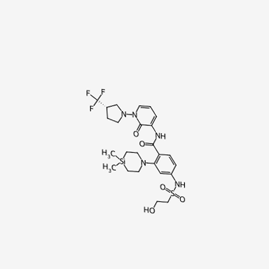 C[Si]1(C)CCN(c2cc(NS(=O)(=O)CCO)ccc2C(=O)Nc2cccn(N3CC[C@H](C(F)(F)F)C3)c2=O)CC1